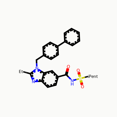 CCCC(C)S(=O)(=O)NC(=O)c1ccc2nc(CC)n(Cc3ccc(-c4ccccc4)cc3)c2c1